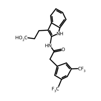 O=C(O)CCc1c(NC(=O)Cc2cc(C(F)(F)F)cc(C(F)(F)F)c2)[nH]c2ccccc12